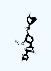 COc1cc(OCc2ccc(Cl)cc2)ccc1-c1c[nH]c(-c2cccs2)n1